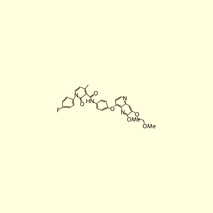 COCCOc1cc2nccc(Oc3ccc(NC(=O)c4c(C)ccn(-c5ccc(F)cc5)c4=O)cc3)c2nc1OC